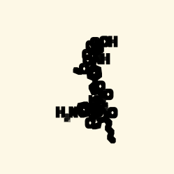 CCCCCC(C(=O)NCNC(=O)c1ccc(-c2ccc(C(=O)NC(CC(=O)O)C(=O)O)c(OCC)c2)o1)[C@@H](CC)N(C=O)OC(=O)c1ccc(N)cc1